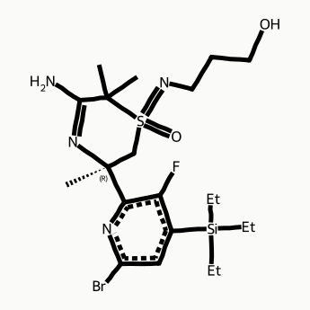 CC[Si](CC)(CC)c1cc(Br)nc([C@]2(C)CS(=O)(=NCCCO)C(C)(C)C(N)=N2)c1F